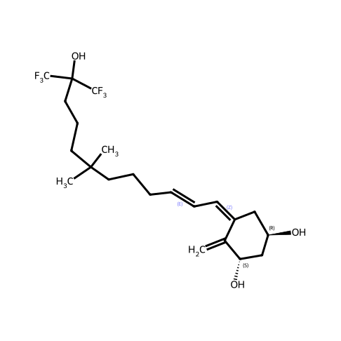 C=C1/C(=C\C=C\CCCC(C)(C)CCCC(O)(C(F)(F)F)C(F)(F)F)C[C@@H](O)C[C@@H]1O